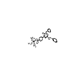 CC(C)(C)OC(=O)N1CCC(N(CC(=O)OCc2ccccc2)C(=O)OCc2ccccc2)CC1